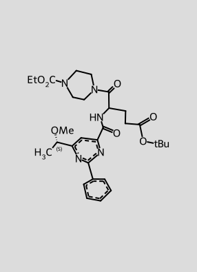 CCOC(=O)N1CCN(C(=O)C(CCC(=O)OC(C)(C)C)NC(=O)c2cc([C@H](C)OC)nc(-c3ccccc3)n2)CC1